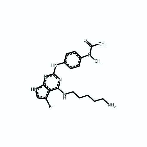 CC(=O)N(C)c1ccc(Nc2nc(NCCCCCN)c3c(Br)c[nH]c3n2)cc1